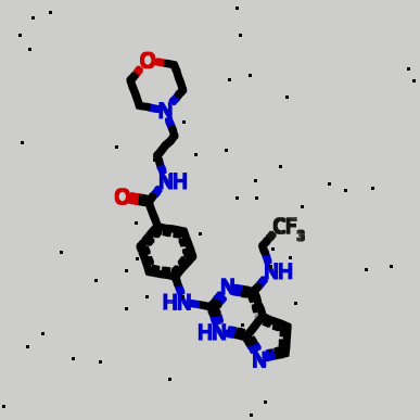 O=C(NCCN1CCOCC1)c1ccc(Nc2nc(NCC(F)(F)F)c3ccnc-3[nH]2)cc1